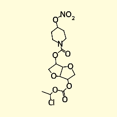 CC(Cl)OC(=O)OC1COC2C(OC(=O)N3CCC(O[N+](=O)[O-])CC3)COC12